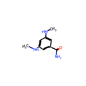 CNc1cc(NC)cc(C(N)=O)c1